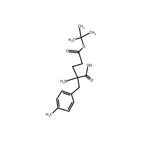 Cc1ccc(CC(N)(CCC(=O)OC(C)(C)C)C(=O)O)cc1